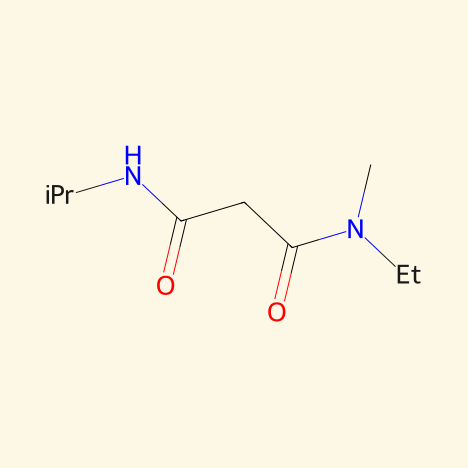 CCN(C)C(=O)CC(=O)NC(C)C